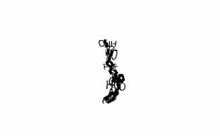 CC(=O)NC[C@H]1CN(c2cc(F)c(N3CCN(C(=O)C4(NC(=O)c5cn6ccncc6n5)CCCC4)CC3)c(F)c2)C(=O)O1